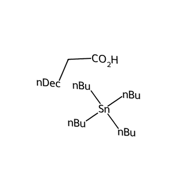 CCCCCCCCCCCC(=O)O.CCC[CH2][Sn]([CH2]CCC)([CH2]CCC)[CH2]CCC